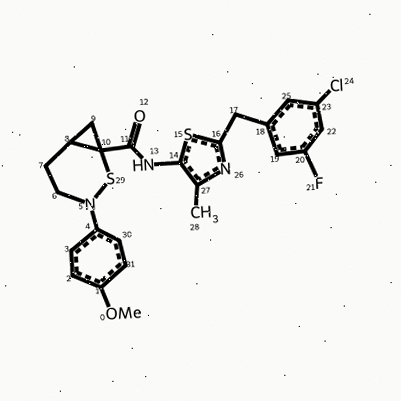 COc1ccc(N2CCC3CC3(C(=O)Nc3sc(Cc4cc(F)cc(Cl)c4)nc3C)S2)cc1